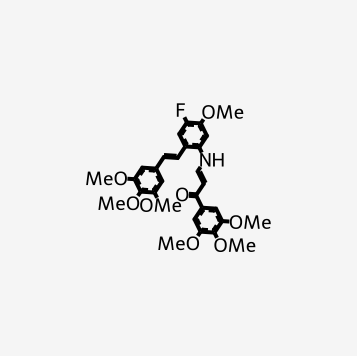 COc1cc(NC=CC(=O)c2cc(OC)c(OC)c(OC)c2)c(C=Cc2cc(OC)c(OC)c(OC)c2)cc1F